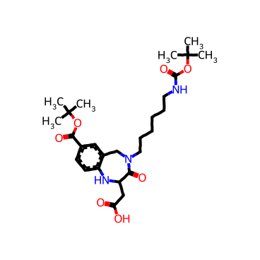 CC(C)(C)OC(=O)NCCCCCCN1Cc2cc(C(=O)OC(C)(C)C)ccc2NC(CC(=O)O)C1=O